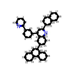 c1ccc(-c2cccc(-c3cc(-c4ccc5ccccc5c4)nc4ccc(-c5cc6ccccc6c6ccccc56)cc34)c2)nc1